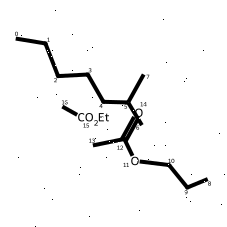 CCCCCC(C)C.CCCOC(C)=O.CCOC(C)=O